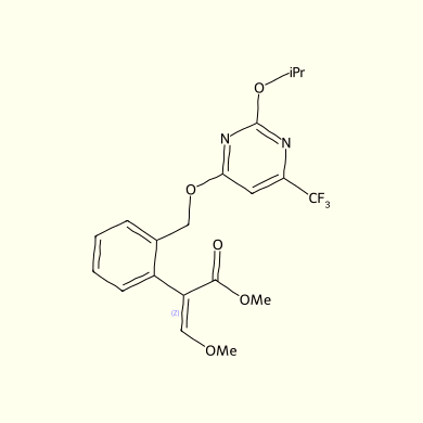 CO/C=C(\C(=O)OC)c1ccccc1COc1cc(C(F)(F)F)nc(OC(C)C)n1